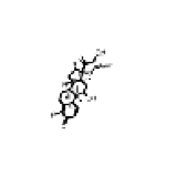 CCCCCO[C@]1(C(=O)CO)C(C)C[C@H]2[C@@H]3CCC4=C(F)C(=O)C=C[C@]4(C)[C@@]3(F)C(O)C[C@@]21C